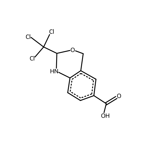 O=C(O)c1ccc2c(c1)COC(C(Cl)(Cl)Cl)N2